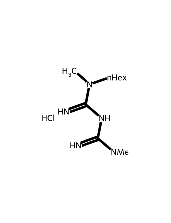 CCCCCCN(C)C(=N)NC(=N)NC.Cl